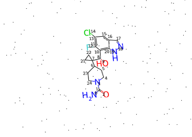 NC(=O)N1CCC(C2(C(O)c3c(F)c(Cl)cc4cn[nH]c34)CC2)CC1